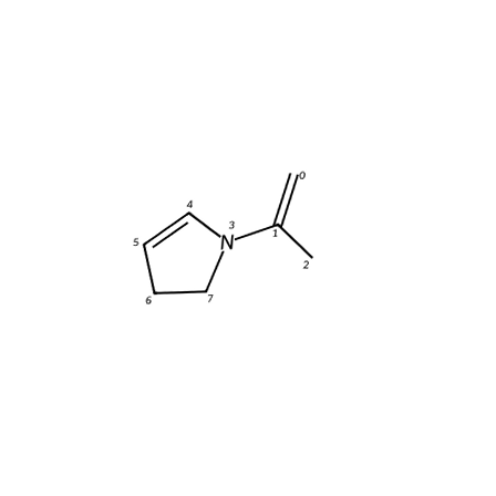 C=C(C)N1C=CCC1